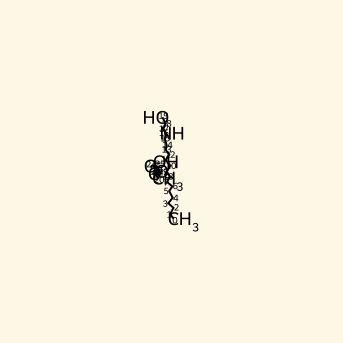 CCCCCCCCCCCCCCCCNCCO.COS(=O)(=O)O